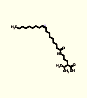 CCCCCCCC/C=C\CCCCCCCC(=O)NCCCC(C(=O)O)N(C)C